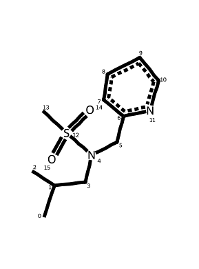 CC(C)CN(Cc1ccccn1)S(C)(=O)=O